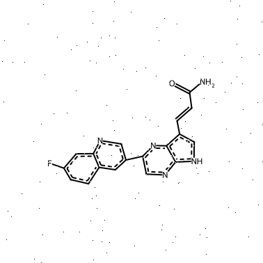 NC(=O)/C=C/c1c[nH]c2ncc(-c3cnc4cc(F)ccc4c3)nc12